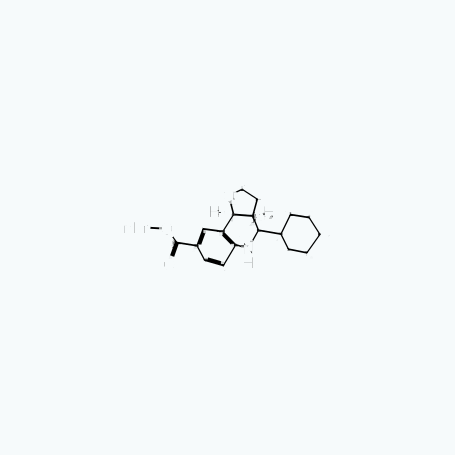 CCCOC(=O)c1ccc2c(c1)[C@H]1OCC[C@H]1C(C1CCCCC1)N2